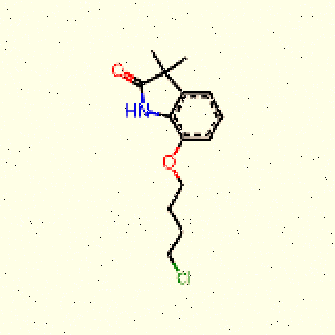 CC1(C)C(=O)Nc2c(OCCCCCl)cccc21